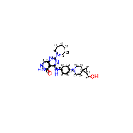 O=c1[nH]ncc2nc(N3CCCCCC3)nc(Nc3ccc(N4CCC5(CC4)CC5CO)cc3)c12